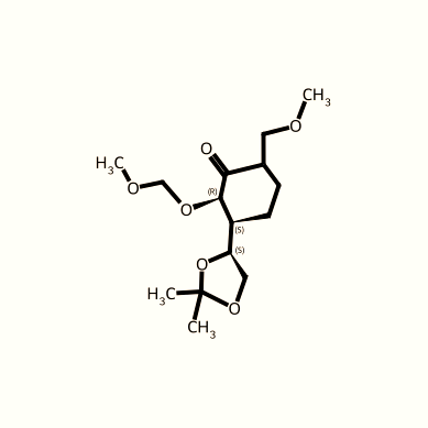 COCO[C@H]1C(=O)C(COC)CC[C@H]1[C@H]1COC(C)(C)O1